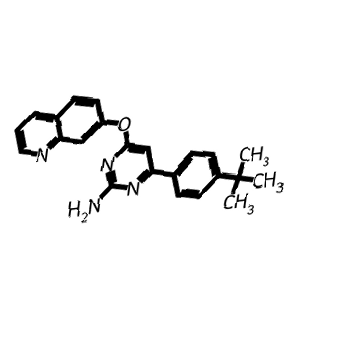 CC(C)(C)c1ccc(-c2cc(Oc3ccc4cccnc4c3)nc(N)n2)cc1